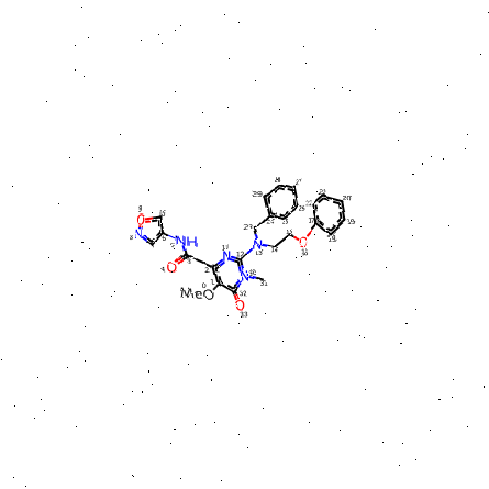 COc1c(C(=O)Nc2cnoc2)nc(N(CCOc2ccccc2)Cc2ccccc2)n(C)c1=O